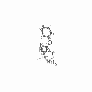 CCn1c(Oc2cccnc2)nnc1[C@@H](C)N